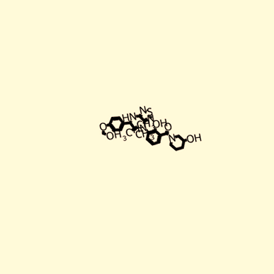 CC(C)(C)C(Nc1nsnc1Nc1cccc(C(=O)N2CCCC(O)C2)c1O)c1ccc2c(c1)OCO2